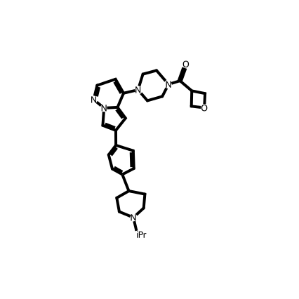 CC(C)N1CCC(c2ccc(-c3cc4c(N5CCN(C(=O)C6COC6)CC5)ccnn4c3)cc2)CC1